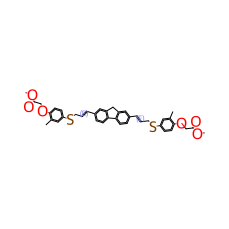 COC(=O)COc1ccc(SC/C=C/c2ccc3c(c2)Cc2cc(/C=C/CSc4ccc(OCC(=O)OC)c(C)c4)ccc2-3)cc1C